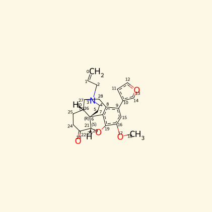 C=CCN1CC[C@@]23c4c5c(-c6ccoc6)cc(OC)c4O[C@@H]2C(=O)CC[C@@H]3C1C5